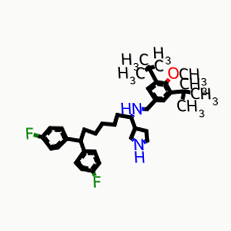 COc1c(C(C)(C)C)cc(CNC(CCCCCC(c2ccc(F)cc2)c2ccc(F)cc2)C2CCNC2)cc1C(C)(C)C